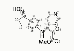 COC(=O)c1oc2cnccc2c1Nc1ccc2c(c1)CCC2=NO